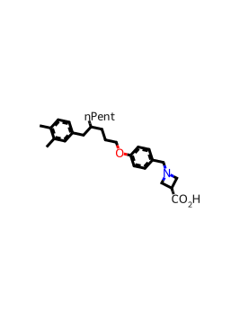 CCCCCC(CCCOc1ccc(CN2CC(C(=O)O)C2)cc1)Cc1ccc(C)c(C)c1